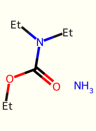 CCOC(=O)N(CC)CC.N